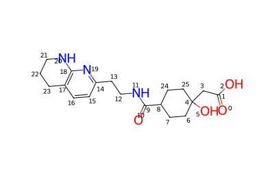 O=C(O)CC1(O)CCC(C(=O)NCCc2ccc3c(n2)NCCC3)CC1